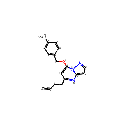 C=CCCc1cc(OCc2ccc(OC)cc2)n2nccc2n1